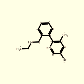 [CH2]CNCc1ccccc1-c1ncc(Br)cc1C